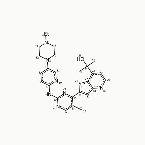 CCN1CCN(c2ccc(Nc3ncc(F)c(-c4cc5nccc(C(C)(C)O)c5s4)n3)nc2)CC1